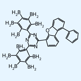 Bc1c(B)c(B)c(-c2nc(-c3c(B)c(B)c(B)c(B)c3B)nc(-c3cccc4c3oc3cccc(-c5ccccc5)c34)n2)c(B)c1B